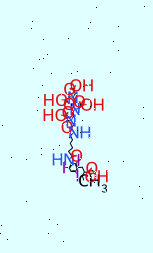 CCC(Cc1c(I)cc(I)c(NC(=O)CCCCCNC(=O)CN(CCN(CCN(CC(=O)O)CC(=O)O)CC(=O)O)CC(=O)O)c1I)C(=O)O